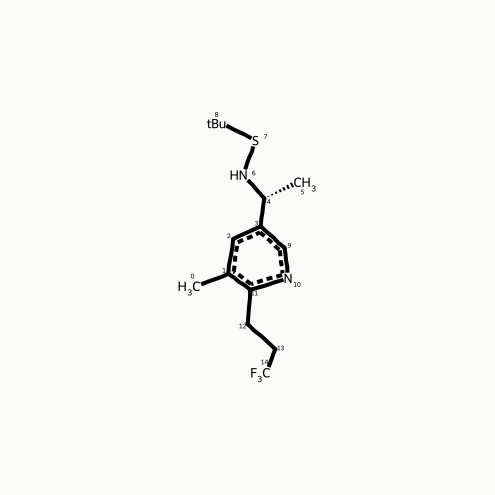 Cc1cc([C@@H](C)NSC(C)(C)C)cnc1CCC(F)(F)F